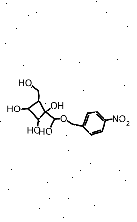 O=[N+]([O-])c1ccc(COC(O)C2(O)C(O)C(O)C2CO)cc1